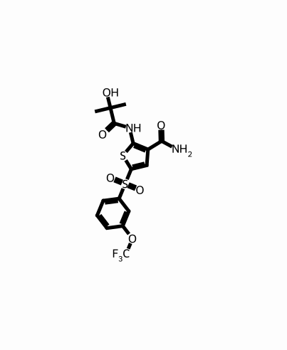 CC(C)(O)C(=O)Nc1sc(S(=O)(=O)c2cccc(OC(F)(F)F)c2)cc1C(N)=O